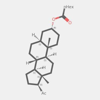 CCCCCCC(=O)O[C@@H]1CC[C@@]2(C)[C@@H](CC[C@@H]3[C@@H]2CC[C@]2(C)[C@@H](C(C)=O)CC[C@@H]32)C1